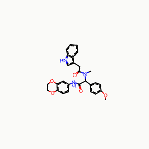 COc1ccc(C(C(=O)Nc2ccc3c(c2)OCCO3)N(C)C(=O)Cc2c[nH]c3ccccc23)cc1